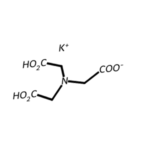 O=C([O-])CN(CC(=O)O)CC(=O)O.[K+]